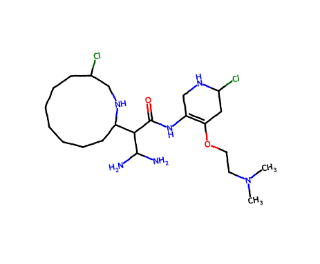 CN(C)CCOC1=C(NC(=O)C(C(N)N)C2CCCCCCCC(Cl)CN2)CNC(Cl)C1